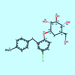 COc1ccc(Cc2cc(F)ccc2O[C@@H]2C[C@H](CO)[C@@H](O)[C@H](O)[C@H]2O)cc1